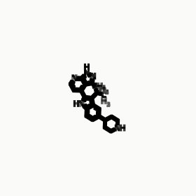 Cc1n[nH]c2nccc(-c3[nH]c4ccc(C5CCNCC5)cc4c3C(C)C)c12